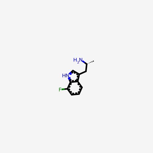 C[C@@H](N)Cc1c[nH]c2c(F)cccc12